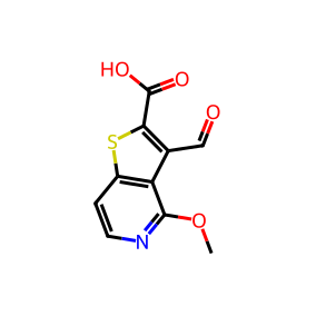 COc1nccc2sc(C(=O)O)c(C=O)c12